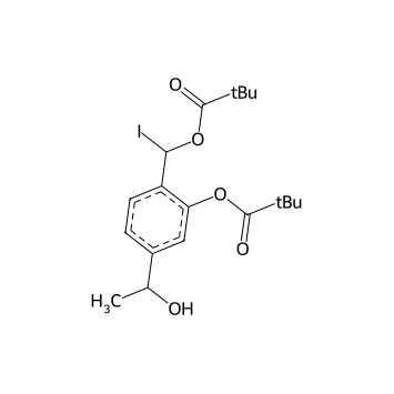 CC(O)c1ccc(C(I)OC(=O)C(C)(C)C)c(OC(=O)C(C)(C)C)c1